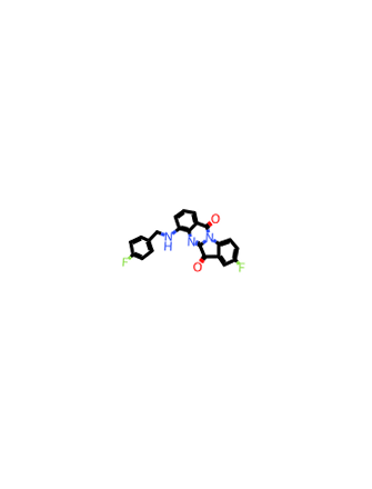 O=C1c2cc(F)ccc2-n2c1nc1c(NCc3ccc(F)cc3)cccc1c2=O